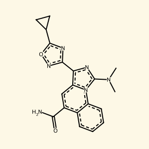 CN(C)c1nc(-c2noc(C3CC3)n2)c2cc(C(N)=O)c3ccccc3n12